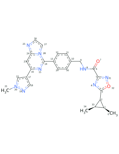 C[C@@H]1C(c2nc(C(=O)NCc3ccc(-c4nc(-c5cnn(C)c5)cc5nccn45)cc3)no2)[C@@H]1C